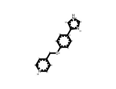 c1cc(COc2ccc(-c3c[nH]cn3)cc2)ccn1